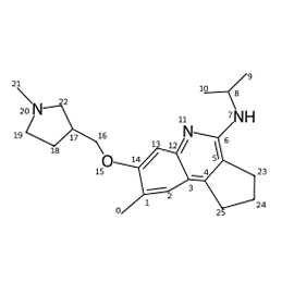 Cc1cc2c3c(c(NC(C)C)nc2cc1OCC1CCN(C)C1)CCC3